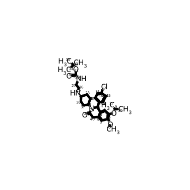 COc1cc2c(cc1OC(C)C)C(c1ccc(Cl)cc1)N(C1CCC(NCCNC(=O)OC(C)(C)C)CC1)C(=O)C2